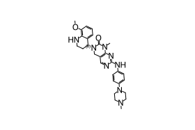 COc1cccc2c1NCC[C@H]2N1Cc2cnc(Nc3ccc(N4CCN(C)CC4)cc3)nc2N(C)C1=O